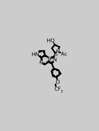 CC(=O)N1C[C@H](O)C[C@@H]1c1nc(-c2ccc(OCC(F)(F)F)cc2)c2cnc3[nH]ccc3n12